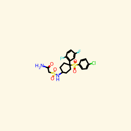 NC(=O)CS(=O)(=O)NC1CCC(c2cc(F)ccc2F)(S(=O)(=O)c2ccc(Cl)cc2)CC1